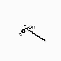 CCCCCCCCCCCCCCNC(CO)C(O)c1ccc(SC)cc1